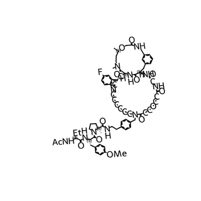 CC[C@H](NC(C)=O)C(=O)N[C@@H](Cc1ccc(OC)cc1)C(=O)N1CCC[C@@]1(C)C(=O)NCCc1ccc(CN2CCCCCCn3cc(c4cc(F)ccc43)C[C@@H]3NC(=O)[C@H](Cc4cccc(c4)CNC(=O)CO[C@H](C)CCN(C)C3=O)NC(=O)CNC(=O)CCOCCC2=O)cc1